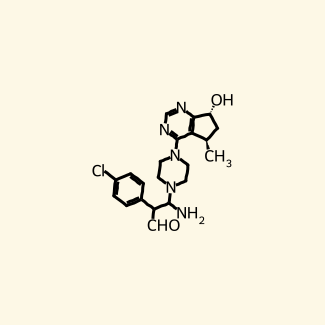 C[C@@H]1C[C@@H](O)c2ncnc(N3CCN(C(N)C(C=O)c4ccc(Cl)cc4)CC3)c21